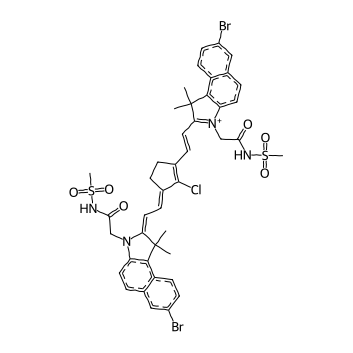 CC1(C)C(/C=C/C2=C(Cl)C(=C/C=C3/N(CC(=O)NS(C)(=O)=O)c4ccc5cc(Br)ccc5c4C3(C)C)/CC2)=[N+](CC(=O)NS(C)(=O)=O)c2ccc3cc(Br)ccc3c21